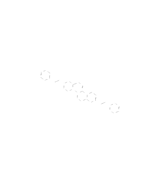 Fc1ccc(/C=C/c2ccc3c(ccc4c5ccc(/C=C/c6ccc(F)cc6)cc5ccc34)c2)cc1